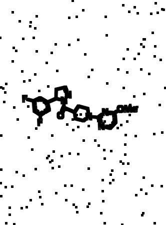 COc1ccnc(N2CCC(C(=O)N3N=CCC3c3cc(F)cc(F)c3)CC2)n1